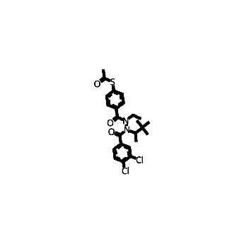 CCN(C(=O)c1ccc(SC(C)=O)cc1)N(C(=O)c1ccc(Cl)c(Cl)c1)C(C)C(C)(C)C